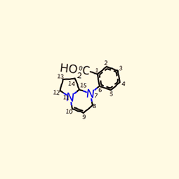 O=C(O)c1ccccc1N1CC=CN2CCCC21